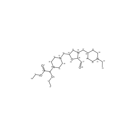 CCOC(=O)C(OCC)N1CCN(CC2CN(CC3CCN(CC)CC3)C(C=O)O2)CC1